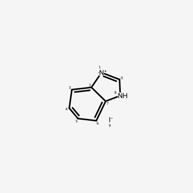 C1=[N+]c2ccccc2N1.[I-]